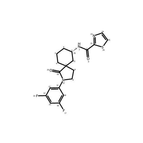 O=C(N[C@H]1CCCC2(CCN(c3cc(F)cc(F)c3)C2=O)C1)c1nccs1